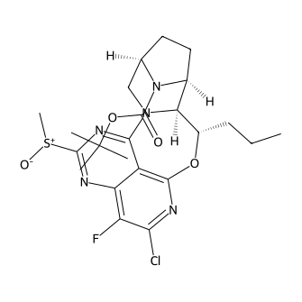 CCC[C@@H]1Oc2nc(Cl)c(F)c3nc([S+](C)[O-])nc(c23)N2C[C@H]3CC[C@@H]([C@@H]12)N3C(=O)OC(C)(C)C